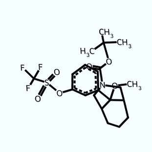 COC1(c2cccc(OS(=O)(=O)C(F)(F)F)c2)C2CCCC1CN(C(=O)OC(C)(C)C)C2